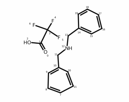 O=C(O)C(F)(F)F.c1ccc(CNCc2ccccc2)cc1